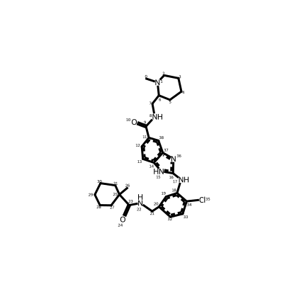 CN1CCCCC1CNC(=O)c1ccc2[nH]c(Nc3cc(CNC(=O)C4(C)CCCCC4)ccc3Cl)nc2c1